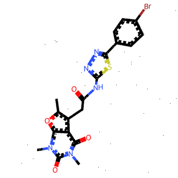 Cc1oc2c(c1CC(=O)Nc1nnc(-c3ccc(Br)cc3)s1)c(=O)n(C)c(=O)n2C